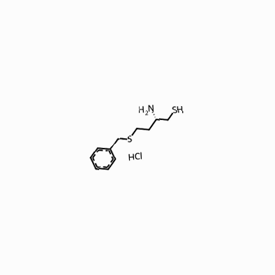 Cl.N[C@H](CS)CCSCc1ccccc1